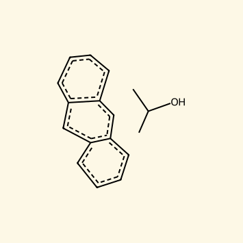 CC(C)O.c1ccc2cc3ccccc3cc2c1